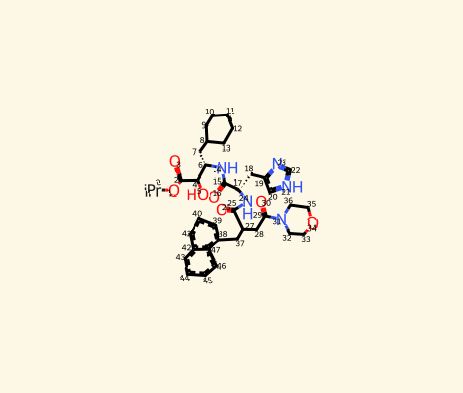 CC(C)OC(=O)C(O)[C@H](CC1CCCCC1)NC(=O)[C@H](Cc1c[nH]cn1)NC(=O)C(CC(=O)N1CCOCC1)Cc1cccc2ccccc12